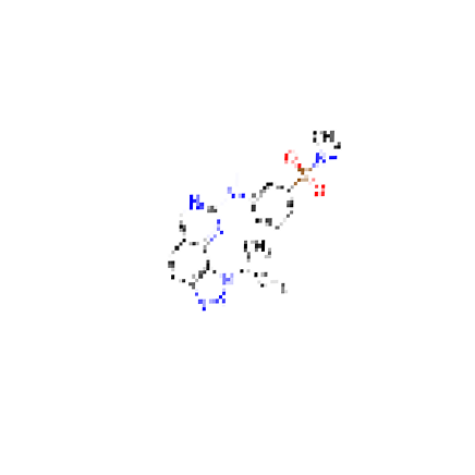 CNS(=O)(=O)c1cccc(Nc2ncc3ccc4nnn(C(C)C)c4c3n2)c1